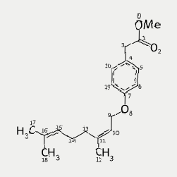 COC(=O)Cc1ccc(OCC=C(C)CCC=C(C)C)cc1